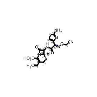 C=CC1=C(C(=O)O)N2C(=O)C(NC(=O)/C(=N/OCC#N)c3csc(N)n3)[C@H]2SC1